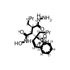 CC(C)C[C@@H](C(=O)NN)[C@@H](C(=O)NO)C(/C=C\c1ccccc1)(CC(C)C)S(C)(=O)=O